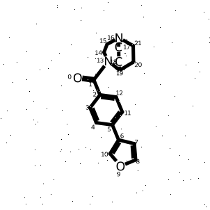 O=C(c1ccc(-c2ccoc2)cc1)N1CCN2CCC1CC2